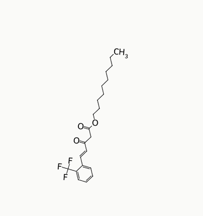 CCCCCCCCCCOC(=O)CC(=O)C=Cc1ccccc1C(F)(F)F